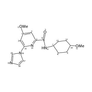 COc1cc(C(=O)NC2CCC(OC)CC2)nc(-n2ccnc2)c1